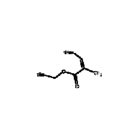 CCCCCCC=C(C)C(=O)OCC(C)(C)C